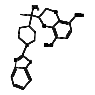 COc1ccc(OC)c2c1OCC(C(C)(N)C1CCN(c3nc4ccccc4s3)CC1)O2